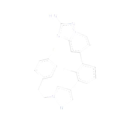 C[C@@H](Cn1cc(-c2cccc(-c3ccn4nc(N)nc4c3)c2F)cn1)c1ccc(F)cc1